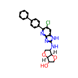 O[C@@H]1CO[C@@H]2C(Nc3nc4nc(-c5ccc(-c6ccccc6)cc5)c(Cl)cc4[nH]3)CO[C@H]12